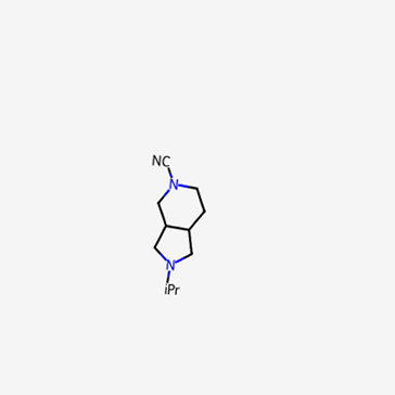 CC(C)N1CC2CCN(C#N)CC2C1